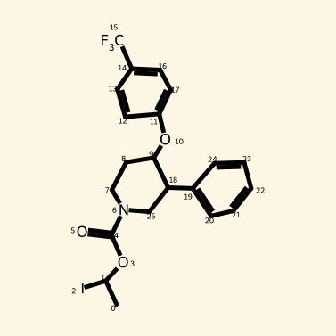 CC(I)OC(=O)N1CCC(Oc2ccc(C(F)(F)F)cc2)C(c2ccccc2)C1